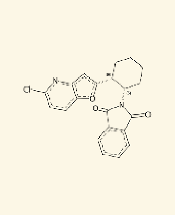 O=C1c2ccccc2C(=O)N1[C@H]1CCCC[C@H]1c1cc2nc(Cl)ccc2o1